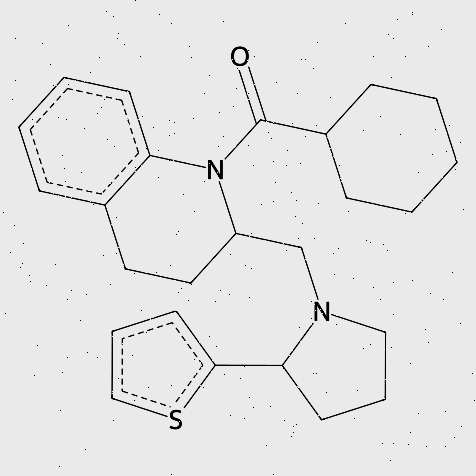 O=C(C1CCCCC1)N1c2ccccc2CCC1CN1CCCC1c1cccs1